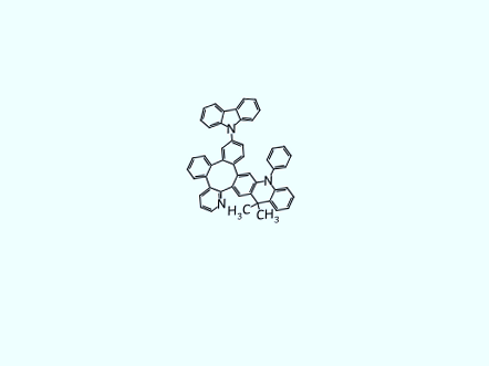 CC1(C)c2ccccc2N(c2ccccc2)c2cc3c(cc21)-c1ncccc1-c1ccccc1-c1cc(-n2c4ccccc4c4ccccc42)ccc1-3